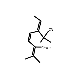 C/C=C(\C=C/C(CCCCC)=C(C)C)C(C)(C)C#N